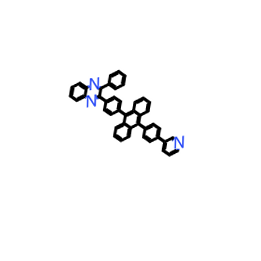 c1ccc(-c2nc3ccccc3nc2-c2ccc(-c3c4ccccc4c(-c4ccc(-c5cccnc5)cc4)c4ccccc34)cc2)cc1